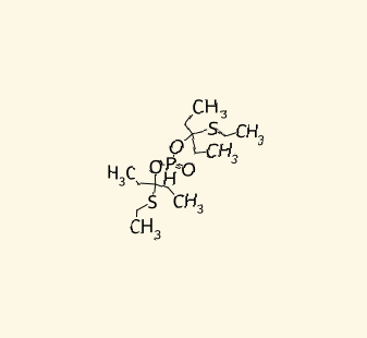 CCSC(CC)(CC)O[PH](=O)OC(CC)(CC)SCC